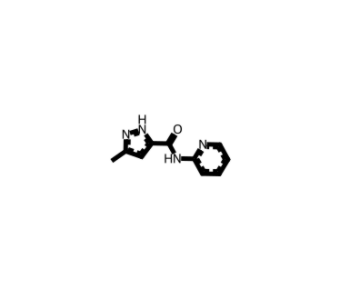 Cc1cc(C(=O)Nc2ccccn2)[nH]n1